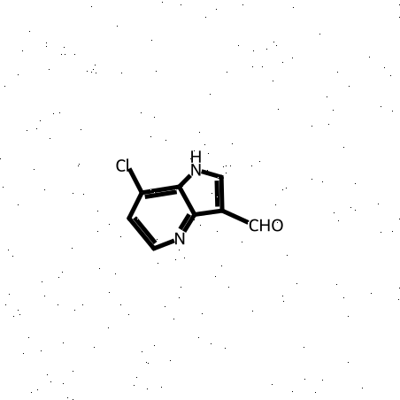 O=Cc1c[nH]c2c(Cl)ccnc12